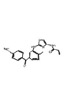 C=CC(=O)Nc1csc(Nc2cc(C(=O)c3ccc(C#N)cc3)ccc2C)n1